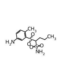 CCCC(S(N)(=O)=O)S(=O)(=O)c1cc(N)ccc1C